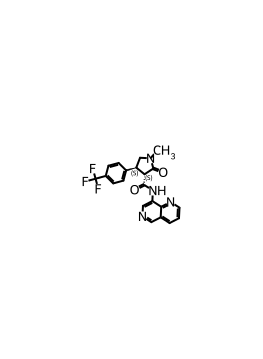 CN1C[C@H](c2ccc(C(F)(F)F)cc2)[C@@H](C(=O)Nc2cncc3cccnc23)C1=O